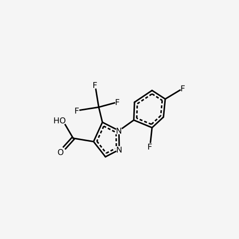 O=C(O)c1cnn(-c2ccc(F)cc2F)c1C(F)(F)F